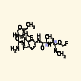 C=N/C(=C\N=C(/C)C(=O)Nc1ccc(F)c([C@@]2(CF)N=C(N)O[C@@H]3CO[C@@H](CC)[C@@H]32)c1)OCF